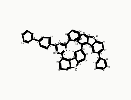 c1ccc(-c2ccc(-c3nc(-c4ccccc4)nc(-c4cccc5oc6ccc(-c7cccc8sc9ccc(-c%10ccccc%10)cc9c78)cc6c45)n3)cc2)cc1